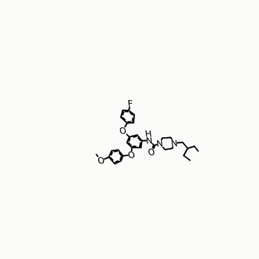 CCC(CC)CN1CCN(C(=O)Nc2cc(Oc3ccc(F)cc3)cc(Oc3ccc(OC)cc3)c2)CC1